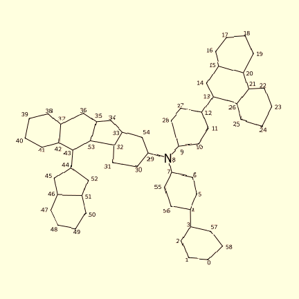 C1CCC(C2CCC(N(C3CCC(C4CC5CCCCC5C5CCCCC45)CC3)C3CCC4C(CC5CC6CCCCC6C(C6CC7CCCCC7C6)C54)C3)CC2)CC1